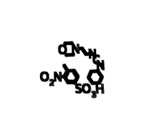 C(=NCCN1CCOCC1)=NC1CCCCC1.Cc1ccc(S(=O)(=O)O)cc1[N+](=O)[O-]